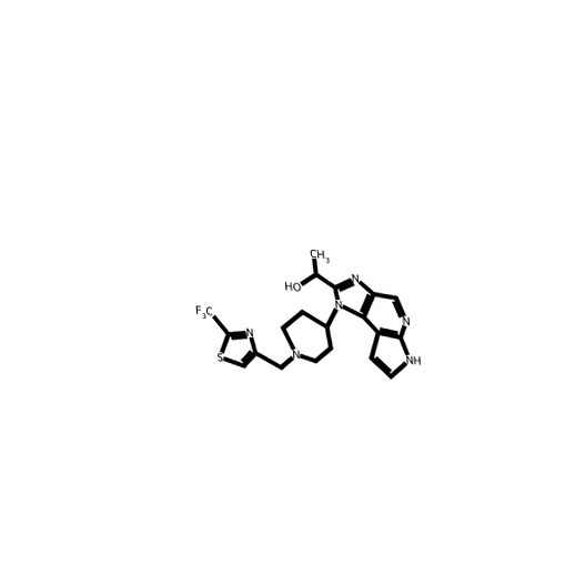 CC(O)c1nc2cnc3[nH]ccc3c2n1C1CCN(Cc2csc(C(F)(F)F)n2)CC1